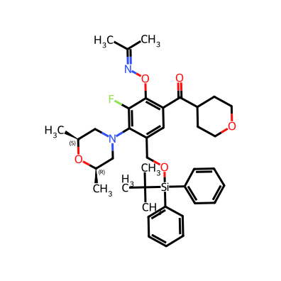 CC(C)=NOc1c(C(=O)C2CCOCC2)cc(CO[Si](c2ccccc2)(c2ccccc2)C(C)(C)C)c(N2C[C@@H](C)O[C@@H](C)C2)c1F